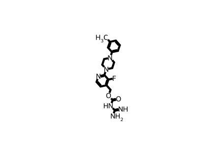 Cc1cccc(N2CCN(c3nccc(COC(=O)NC(=N)N)c3F)CC2)c1